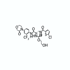 O=C(N[C@@H](CNC(=O)c1ccc(Cl)s1)C(=O)Nc1ccc(N2CCOCC2=O)cc1C(F)(F)F)OCCO